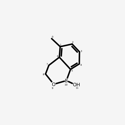 Cc1cccc2c1CCOB2O